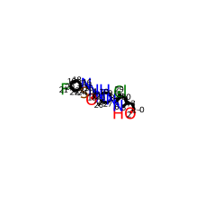 C[C@H](O)Cc1cnc(N2CCN(C(=O)Nc3nc4ccc(F)cc4s3)[C@H](C)C2)c(Cl)c1